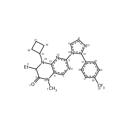 CCC1C(=O)N(C)c2cnc(-n3ccnc3-c3ccc(C(F)(F)F)cc3)nc2N1C1CCC1